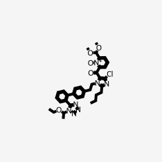 CCCCc1nc(Cl)c(C(=O)c2cccc(C(OC)OC)[n+]2[O-])n1CCc1ccc(-c2ccccc2-c2nnnn2C(C)OCC)cc1